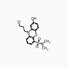 CN(C)S(=O)(=O)c1cccc2c1Sc1ccc(O)cc1N2CCCCl